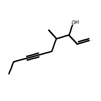 [CH]=CC(O)C(C)CC#CCC